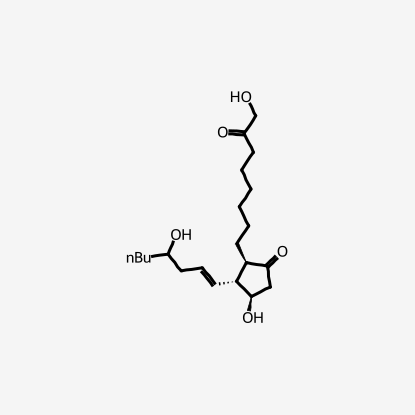 CCCCC(O)CC=C[C@H]1[C@H](O)CC(=O)[C@@H]1CCCCCCC(=O)CO